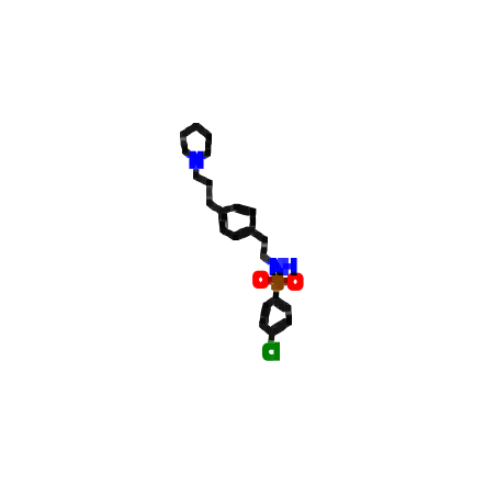 O=S(=O)(NCCc1ccc(CCCN2CCCCC2)cc1)c1ccc(Cl)cc1